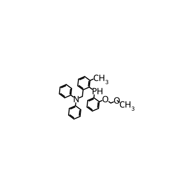 COCOc1ccccc1Pc1c(C)cccc1CN(c1ccccc1)c1ccccc1